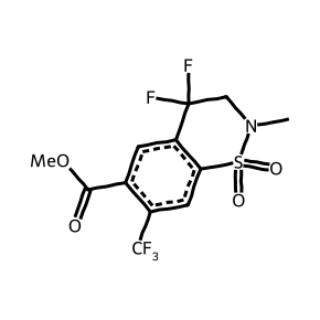 COC(=O)c1cc2c(cc1C(F)(F)F)S(=O)(=O)N(C)CC2(F)F